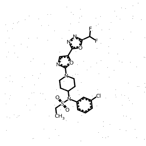 CCS(=O)(=O)N(c1cccc(Cl)c1)C1CCN(c2ncc(-c3nnc(C(F)F)o3)o2)CC1